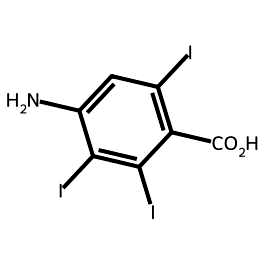 Nc1cc(I)c(C(=O)O)c(I)c1I